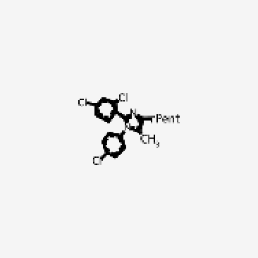 CCCCCc1nc(-c2ccc(Cl)cc2Cl)n(-c2ccc(Cl)cc2)c1C